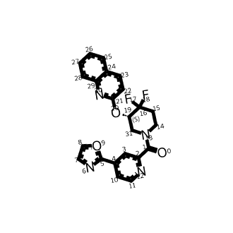 O=C(c1cc(-c2ncco2)ccn1)N1CCC(F)(F)[C@@H](Oc2ccc3ccccc3n2)C1